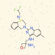 Cc1ccc2nc(N3CCS(=NCC(F)F)c4ccccc4C3)nc(NCC3(N)COC3)c2c1